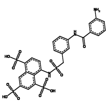 Nc1cccc(C(=O)Nc2cccc(CS(=O)(=O)Nc3ccc(S(=O)(=O)O)c4cc(S(=O)(=O)O)cc(S(=O)(=O)O)c34)c2)c1